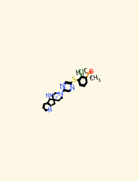 CP(C)(=O)c1cccc(Sc2cnc(N3CCC4(CC3)Cc3ncccc3[C@H]4N)cn2)c1Cl